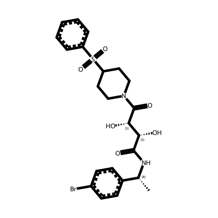 C[C@@H](NC(=O)[C@@H](O)[C@H](O)C(=O)N1CCC(S(=O)(=O)c2ccccc2)CC1)c1ccc(Br)cc1